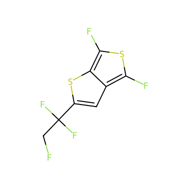 FCC(F)(F)c1cc2c(F)sc(F)c2s1